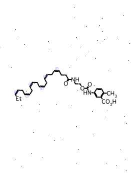 CC/C=C\C/C=C\C/C=C\C/C=C\C/C=C\C/C=C\CCC(=O)NCCOC(=O)Nc1ccc(C)c(C(=O)O)c1